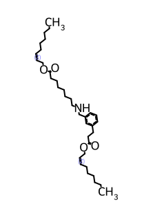 CCCCCC/C=C\COC(=O)CCCCCCCNCc1cccc(CCC(=O)OC/C=C\CCCCCC)c1